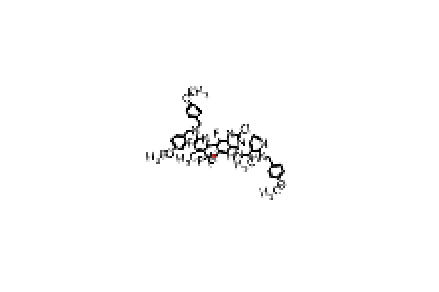 COc1ccc(CNc2ncccc2C(C)Nc2nc(Cl)nc3c(F)c(-c4nc(N(Cc5ccc(OC)cc5)Cc5ccc(OC)cc5)c(F)c(C)c4C(F)(F)F)c(Cl)cc23)cc1